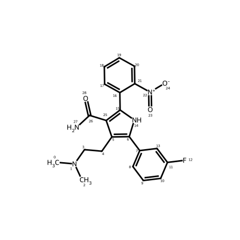 CN(C)CCc1c(-c2cccc(F)c2)[nH]c(-c2ccccc2[N+](=O)[O-])c1C(N)=O